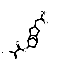 C=C(C)C(=O)OC1CC2CC1C1CC(CC(=O)O)CC21